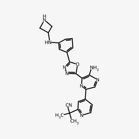 CC(C)(C#N)c1cc(-c2cnc(N)c(-c3nnc(-c4cccc(NC5CNC5)c4)o3)n2)ccn1